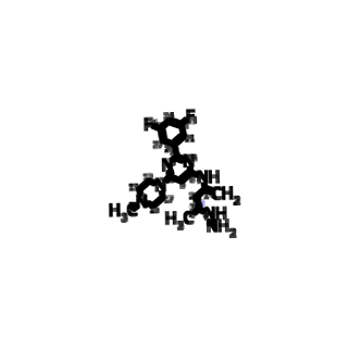 C=C(/C=C(/C)NN)Nc1cc(N2CCN(C)CC2)nc(-c2cc(F)cc(F)c2)n1